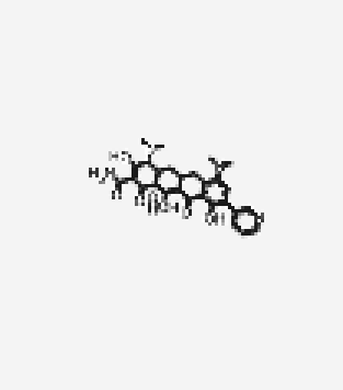 CN(C)c1cc(-c2cccnc2)c(O)c2c1CC1CC3[C@H](N(C)C)C(O)=C(C(N)=O)C(=O)[C@@]3(O)C(O)=C1C2=O